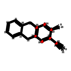 N#Cc1cc2c(cc1I)C1c3ccccc3C2c2cc(C#N)c(I)cc21